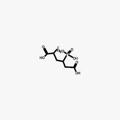 CC(CC(CC(=O)O)P(=O)(O)O)C(=O)O